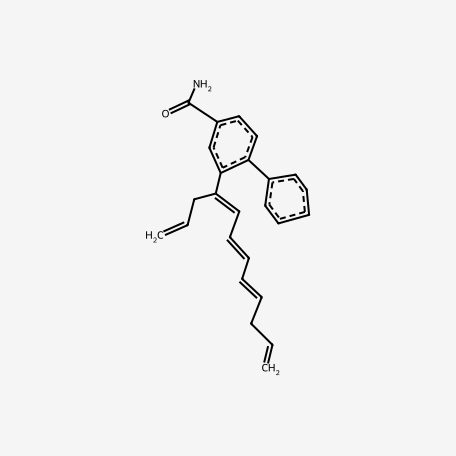 C=CCC=CC=CC=C(CC=C)c1cc(C(N)=O)ccc1-c1ccccc1